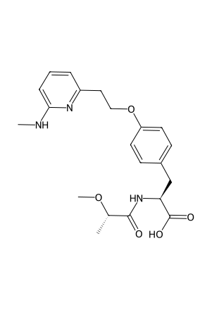 CNc1cccc(CCOc2ccc(C[C@H](NC(=O)[C@H](C)OC)C(=O)O)cc2)n1